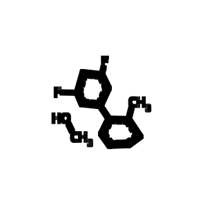 CO.Cc1ccccc1-c1cc(F)cc(F)c1